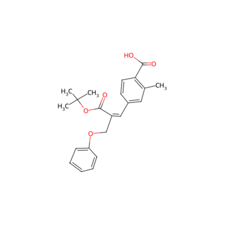 Cc1cc(C=C(COc2ccccc2)C(=O)OC(C)(C)C)ccc1C(=O)O